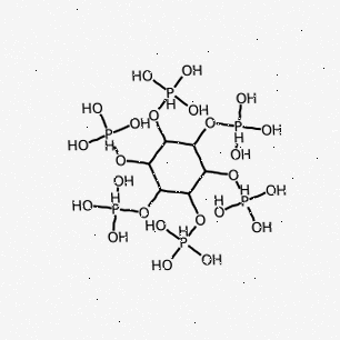 O[PH](O)(O)OC1C(O[PH](O)(O)O)C(O[PH](O)(O)O)C(O[PH](O)(O)O)C(O[PH](O)(O)O)C1O[PH](O)(O)O